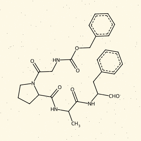 CC(NC(=O)C1CCCN1C(=O)CNC(=O)OCc1ccccc1)C(=O)NC(C=O)Cc1ccccc1